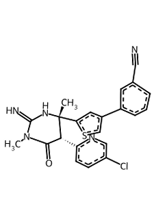 CN1C(=N)N[C@](C)(c2cc(-c3cccc(C#N)c3)cs2)[C@H](c2ccc(Cl)cn2)C1=O